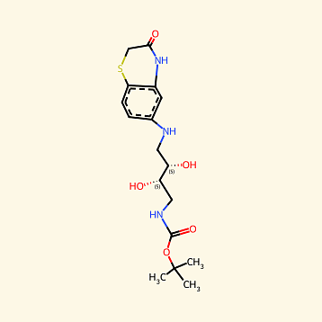 CC(C)(C)OC(=O)NC[C@H](O)[C@@H](O)CNc1ccc2c(c1)NC(=O)CS2